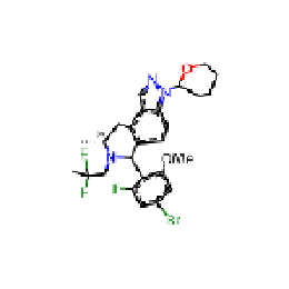 COc1cc(Br)cc(F)c1C1c2ccc3c(cnn3C3CCCCO3)c2C[C@@H](C)N1CC(C)(F)F